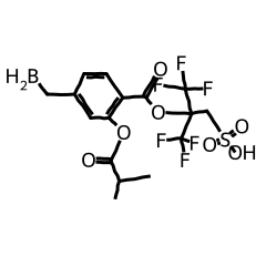 BCc1ccc(C(=O)OC(CS(=O)(=O)O)(C(F)(F)F)C(F)(F)F)c(OC(=O)C(C)C)c1